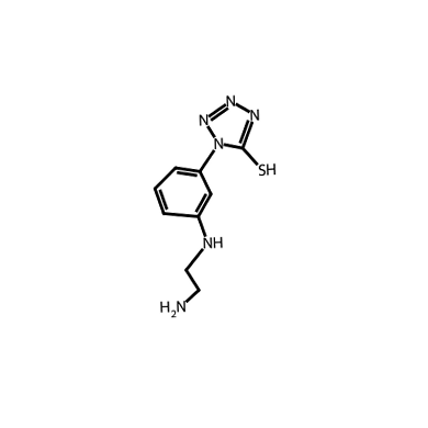 NCCNc1cccc(-n2nnnc2S)c1